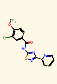 O=C(Nc1nc(-c2ccccn2)ns1)c1ccc(OC(F)(F)F)c(Cl)c1